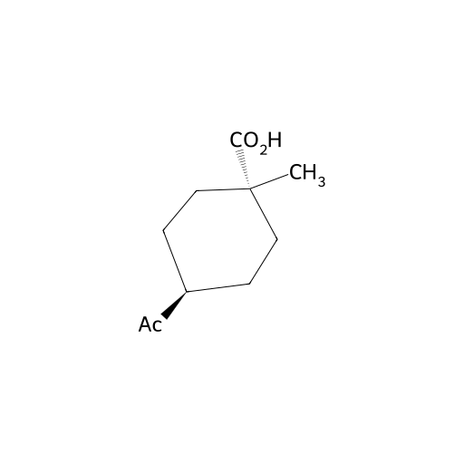 CC(=O)[C@H]1CC[C@](C)(C(=O)O)CC1